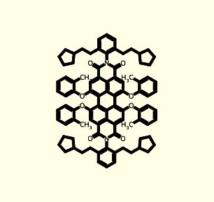 Cc1ccccc1Oc1cc2c3c(cc(Oc4ccccc4C)c4c5c(Oc6ccccc6C)cc6c7c(cc(Oc8ccccc8C)c(c1c34)c75)C(=O)N(c1c(CCC3CCCC3)cccc1CCC1CCCC1)C6=O)C(=O)N(c1c(CCC3CCCC3)cccc1CCC1CCCC1)C2=O